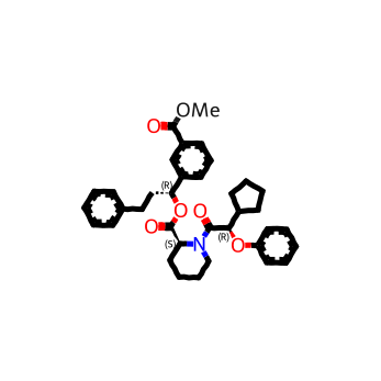 COC(=O)c1cccc([C@@H](CCc2ccccc2)OC(=O)[C@@H]2CCCCN2C(=O)[C@H](Oc2ccccc2)C2CCCC2)c1